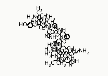 CC[C@H](C)[C@H](NC(=O)[C@H](Cc1ccc(O)cc1)NC(=O)[C@@H](N)C(C)C)C(=O)N[C@@H](Cc1c[nH]cn1)C(=O)N1CCC[C@H]1C(=O)N[C@@H](Cc1ccccc1)C(=O)N[C@@H](Cc1c[nH]cn1)C(=O)N[C@@H](CC(C)C)C(=O)N[C@H](C(=O)N[C@H](C(=O)N[C@@H](Cc1c[nH]cn1)C(=O)N[C@@H](CCCCN)C(=O)O)[C@@H](C)CC)C(C)C